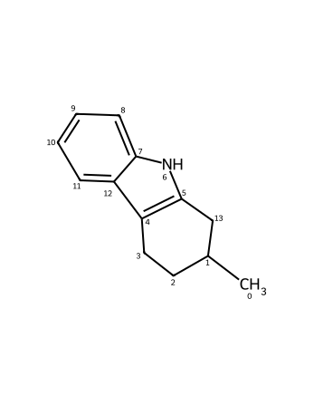 CC1CCc2c([nH]c3ccccc23)C1